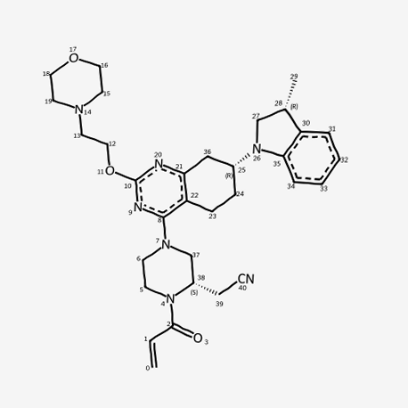 C=CC(=O)N1CCN(c2nc(OCCN3CCOCC3)nc3c2CC[C@@H](N2C[C@H](C)c4ccccc42)C3)C[C@@H]1CC#N